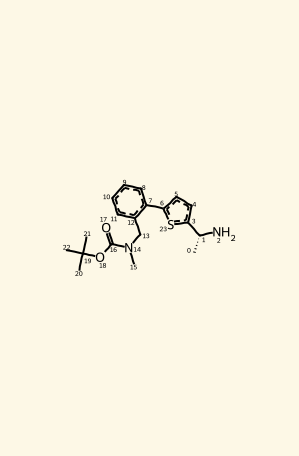 C[C@@H](N)c1ccc(-c2ccccc2CN(C)C(=O)OC(C)(C)C)s1